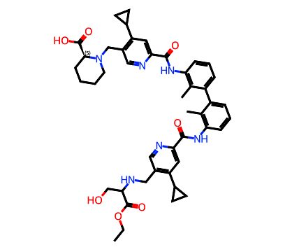 CCOC(=O)C(CO)NCc1cnc(C(=O)Nc2cccc(-c3cccc(NC(=O)c4cc(C5CC5)c(CN5CCCC[C@H]5C(=O)O)cn4)c3C)c2C)cc1C1CC1